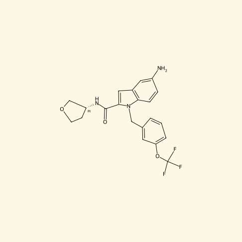 Nc1ccc2c(c1)cc(C(=O)N[C@@H]1CCOC1)n2Cc1cccc(OC(F)(F)F)c1